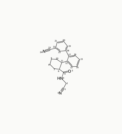 N#CCNC(=O)C1CCCCC1c1ccccc1-c1cccc(C#N)c1